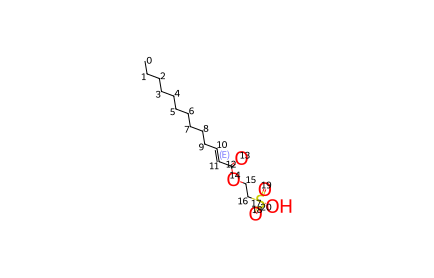 CCCCCCCCCC/C=C/C(=O)OCCS(=O)(=O)O